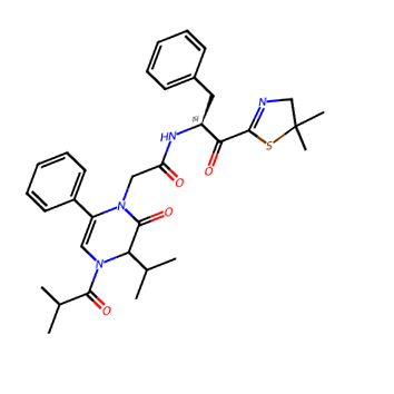 CC(C)C(=O)N1C=C(c2ccccc2)N(CC(=O)N[C@@H](Cc2ccccc2)C(=O)C2=NCC(C)(C)S2)C(=O)C1C(C)C